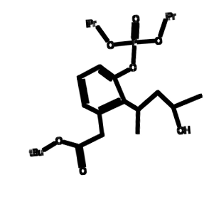 CC(O)CC(C)c1c(CC(=O)OC(C)(C)C)cccc1OP(=O)(OC(C)C)OC(C)C